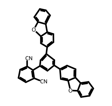 N#Cc1cccc(C#N)c1-c1cc(-c2ccc3c(c2)oc2ccccc23)cc(-c2ccc3c(c2)oc2ccccc23)c1